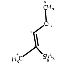 COC=C(C)[SiH3]